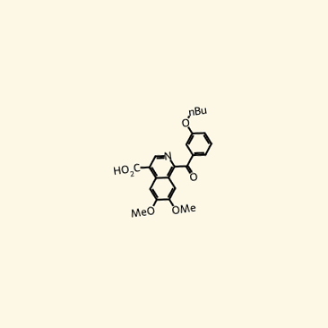 CCCCOc1cccc(C(=O)c2ncc(C(=O)O)c3cc(OC)c(OC)cc23)c1